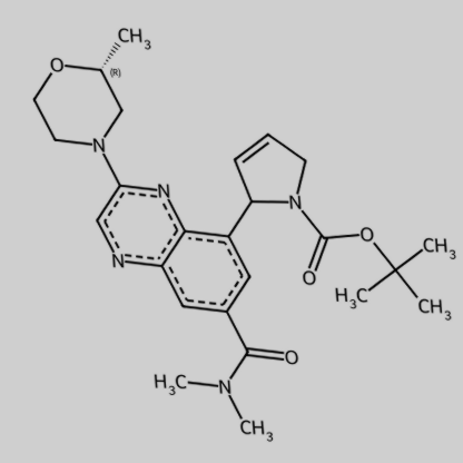 C[C@@H]1CN(c2cnc3cc(C(=O)N(C)C)cc(C4C=CCN4C(=O)OC(C)(C)C)c3n2)CCO1